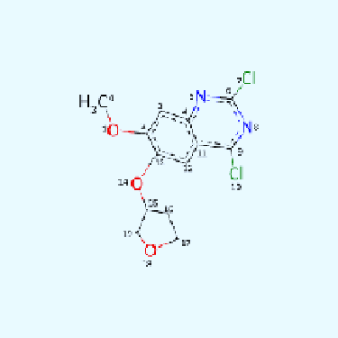 COc1cc2nc(Cl)nc(Cl)c2cc1OC1CCOC1